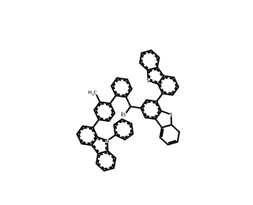 CCC(c1cc2c(c(-c3cccc4c3sc3ccccc34)c1)SC1CC=CC=C21)c1ccccc1-c1ccc(-c2cccc3c4ccccc4n(-c4ccccc4)c23)cc1C